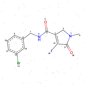 CN1CC(C(=O)NCc2cccc(Br)c2)=C(I)C1=O